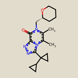 Cc1c(C)n2c(C3(C4CC4)CC3)nnc2c(=O)n1C[C@H]1CCCCO1